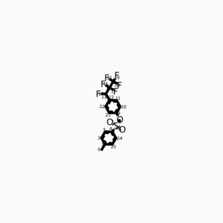 Cc1ccc(S(=O)(=O)Oc2ccc(C(F)C(F)(F)C(F)(F)F)cc2)cc1